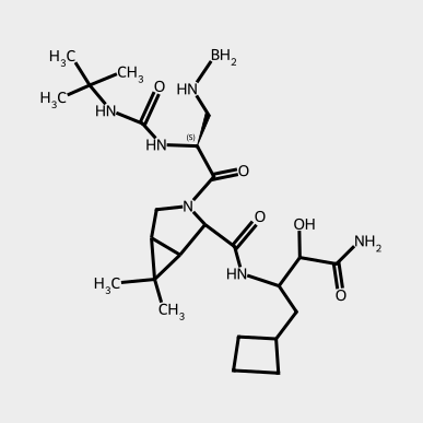 BNC[C@H](NC(=O)NC(C)(C)C)C(=O)N1CC2C(C1C(=O)NC(CC1CCC1)C(O)C(N)=O)C2(C)C